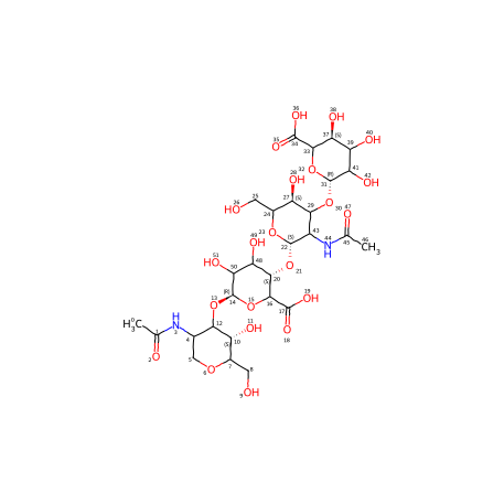 CC(=O)NC1COC(CO)[C@@H](O)C1O[C@@H]1OC(C(=O)O)[C@@H](O[C@@H]2OC(CO)[C@@H](O)C(O[C@@H]3OC(C(=O)O)[C@@H](O)C(O)C3O)C2NC(C)=O)C(O)C1O